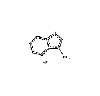 F.Nn1nnc2ccccc21